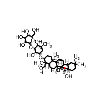 C[C@H]1C[C@@H](O[C@H]2CC[C@@]3(C)[C@@H](CC[C@]4(C)[C@@H]3C=C[C@]35OC[C@@]6(CCC(C)(C)C[C@H]63)[C@@H](O)C[C@]54C)[C@]2(C)CO)[C@H](O)[C@@H](O[C@@H]2OC(CO)[C@@H](O)C(O)[C@@H]2O)[C@H]1O